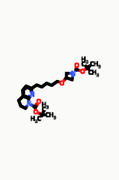 CC(C)(C)OC(=O)N1CC(OCCCCCc2ccc3c(n2)N(C(=O)OC(C)(C)C)CCC3)C1